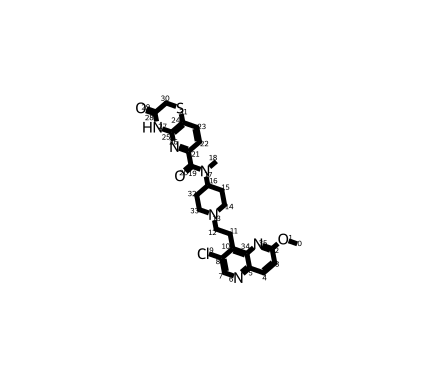 COc1ccc2ncc(Cl)c(CCN3CCC(N(C)C(=O)c4ccc5c(n4)NC(=O)CS5)CC3)c2n1